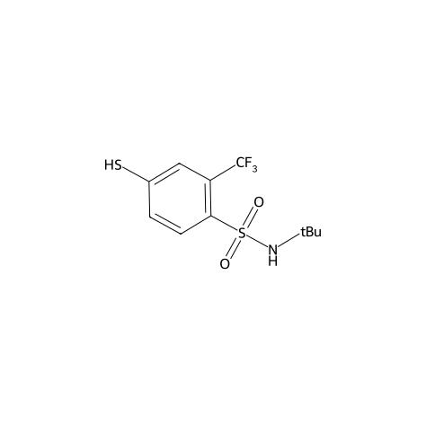 CC(C)(C)NS(=O)(=O)c1ccc(S)cc1C(F)(F)F